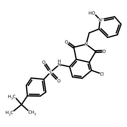 CC(C)(C)c1ccc(S(=O)(=O)Nc2ccc(Cl)c3c2C(=O)N(Cc2cccc[n+]2O)C3=O)cc1